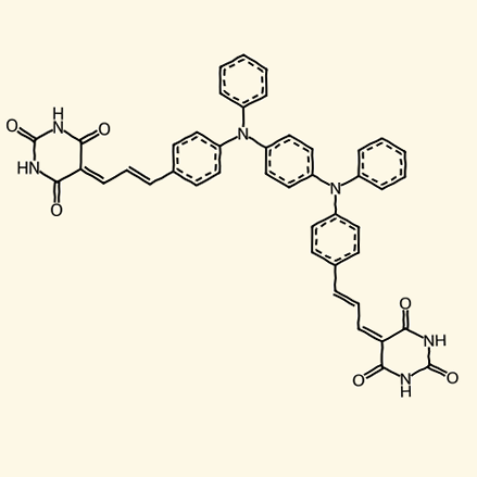 O=C1NC(=O)C(=C/C=C/c2ccc(N(c3ccccc3)c3ccc(N(c4ccccc4)c4ccc(/C=C/C=C5C(=O)NC(=O)NC5=O)cc4)cc3)cc2)C(=O)N1